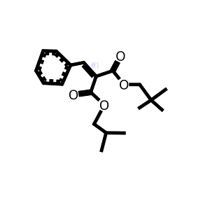 CC(C)COC(=O)/C(=C\c1ccccc1)C(=O)OCC(C)(C)C